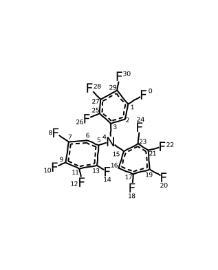 Fc1cc(N(c2cc(F)c(F)c(F)c2F)c2cc(F)c(F)c(F)c2F)c(F)c(F)c1F